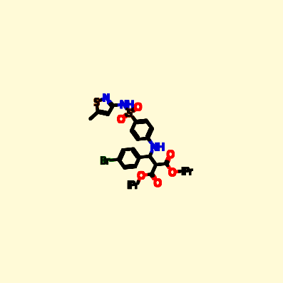 Cc1cc(NS(=O)(=O)c2ccc(NC(c3ccc(Br)cc3)C(C(=O)OC(C)C)C(=O)OC(C)C)cc2)ns1